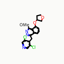 COc1nnc(Cc2c(Cl)cncc2Cl)c2cccc(OC3CCOC3)c12